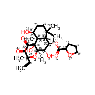 C=C[C@]1(C)O[C@]2(C)[C@@H](O)[C@@H](OC(=O)C3CCCO3)[C@H]3C(C)(C)CC[C@H](O)[C@]3(C)[C@@]2(O)C(=O)C1=O